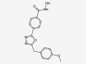 COc1ccc(Cc2nnc(-c3ccc(C(=O)NO)cc3)o2)cc1